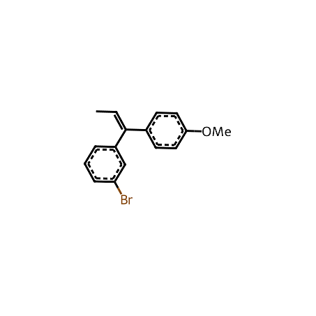 CC=C(c1ccc(OC)cc1)c1cccc(Br)c1